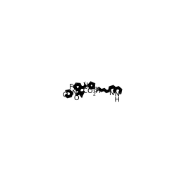 CN(C(C(=O)O)c1ccc(F)c2c1C1(CC1)C(=O)N2C1CCOCC1)[C@H]1CC[C@H](OCCCCc2ccc3c(n2)NCCC3)C1